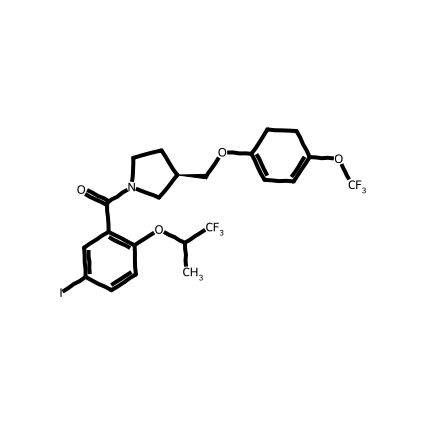 CC(Oc1ccc(I)cc1C(=O)N1CC[C@@H](COC2=CC=C(OC(F)(F)F)CC2)C1)C(F)(F)F